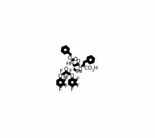 CC(C)C[C@H](NC(=O)OCc1ccccc1)C(=O)N[C@@H](Cc1ccccc1)C(=O)O.O=C(C(F)(F)Oc1ccc(F)c(F)c1F)C(F)(F)Oc1ccc(F)c(F)c1F